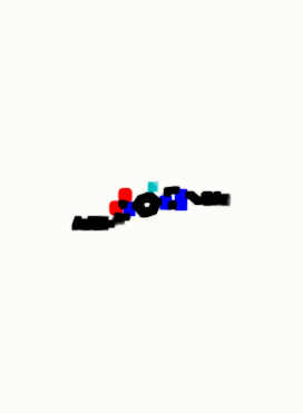 CC(=O)NC[C@H]1CN(c2ccc(N3C=NN(CCOC(C)=O)CC3)c(F)c2)C(=O)O1